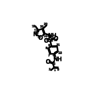 C=C(C)C(=O)Nc1ccc(S(=O)(=O)Nc2onc(C)c2C)cc1